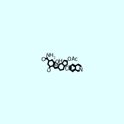 CC(=O)O[C@@H]1C[C@H]2[C@@H]3OC4=C(C=C3CC[C@]2(C)[C@H]1c1ccc2cnccc2c1)C(=O)CC(C(N)=O)C4